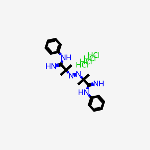 CC(C)(N=NC(C)(C)C(=N)Nc1ccccc1)C(=N)Nc1ccccc1.Cl.Cl.Cl.Cl